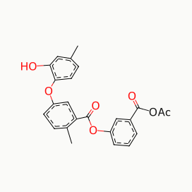 CC(=O)OC(=O)c1cccc(OC(=O)c2cc(Oc3ccc(C)cc3O)ccc2C)c1